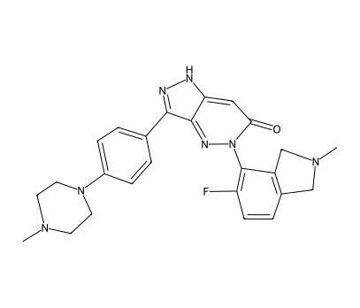 CN1CCN(c2ccc(-c3n[nH]c4cc(=O)n(-c5c(F)ccc6c5CN(C)C6)nc34)cc2)CC1